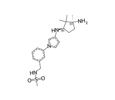 CC1(C)[C@H](Nc2ccn(-c3cccc(CNS(C)(=O)=O)c3)c2)CC[C@]1(C)N